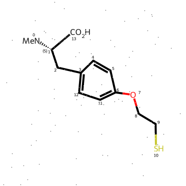 CN[C@@H](Cc1ccc(OCCS)cc1)C(=O)O